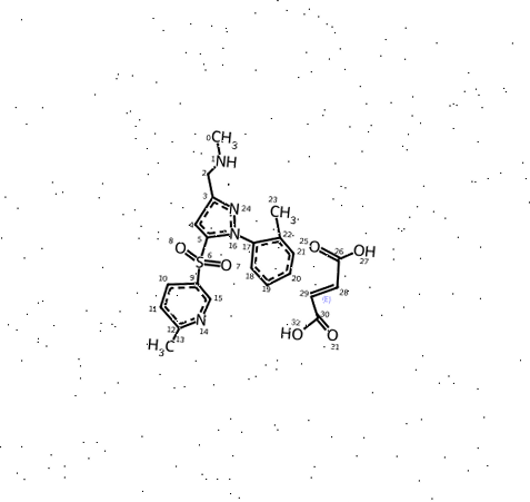 CNCc1cc(S(=O)(=O)c2ccc(C)nc2)n(-c2ccccc2C)n1.O=C(O)/C=C/C(=O)O